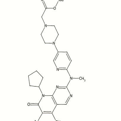 CC(=O)c1c(C)c2cnc(N(C)c3ccc(N4CCN(CC(=O)OC(C)(C)C)CC4)cn3)nc2n(C2CCCC2)c1=O